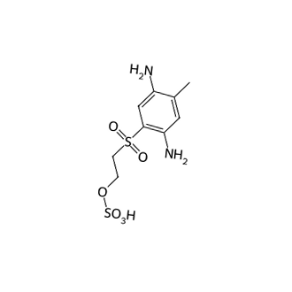 Cc1cc(N)c(S(=O)(=O)CCOS(=O)(=O)O)cc1N